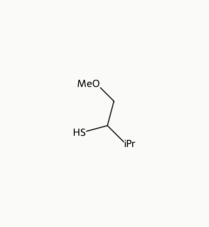 COCC(S)C(C)C